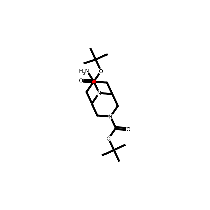 CC(C)(C)OC(=O)N1CC2CC(N)CC(C1)N2C(=O)OC(C)(C)C